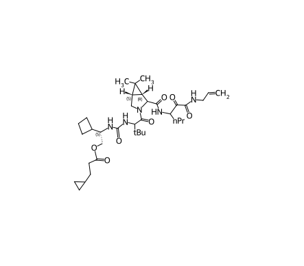 C=CCNC(=O)C(=O)C(CCC)NC(=O)C1[C@@H]2[C@H](CN1C(=O)C(NC(=O)N[C@H](COC(=O)CCC1CC1)C1CCC1)C(C)(C)C)C2(C)C